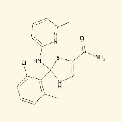 Cc1cccc(NC2(c3c(C)cccc3Cl)NC=C(C(N)=O)S2)n1